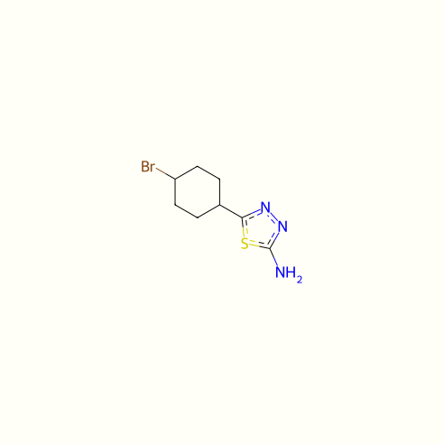 Nc1nnc(C2CCC(Br)CC2)s1